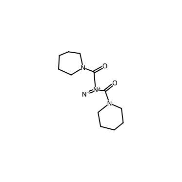 [N-]=[N+](C(=O)N1CCCCC1)C(=O)N1CCCCC1